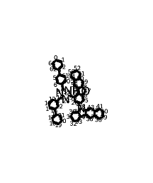 c1ccc(-c2ccc(C3N=C(c4cccc(-c5ccccc5)c4)N=C(c4cc(-n5c6ccccc6c6cc7ccccc7cc65)cc5oc6cc7ccccc7cc6c45)N3)cc2)cc1